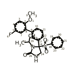 COc1ccc(F)cc1-c1cccc(C2(S(=O)(=O)c3ccccc3)CNC(=O)N2C(C)C)c1